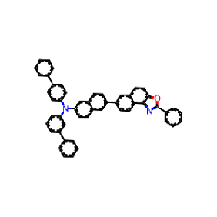 c1ccc(-c2ccc(N(c3cccc(-c4ccccc4)c3)c3ccc4cc(-c5ccc6c(ccc7oc(-c8ccccc8)nc76)c5)ccc4c3)cc2)cc1